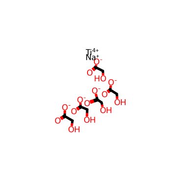 O=C([O-])CO.O=C([O-])CO.O=C([O-])CO.O=C([O-])CO.O=C([O-])CO.[Na+].[Ti+4]